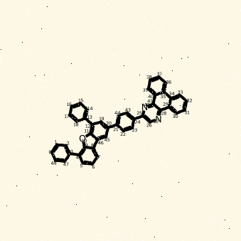 c1ccc(-c2cccc3c2oc2c(-c4ccccc4)cc(-c4ccc(-c5cnc6c7ccccc7c7ccccc7c6n5)cc4)cc23)cc1